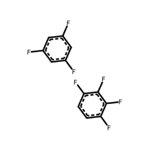 Fc1cc(F)cc(F)c1.Fc1ccc(F)c(F)c1F